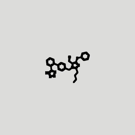 CCCCc1nc(Sc2ccccc2)c(C=O)n1Cc1ccc(-c2ccccc2-c2nnn[nH]2)cc1